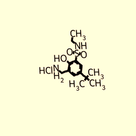 CCNS(=O)(=O)c1cc(C(C)(C)C)cc(CN)c1O.Cl